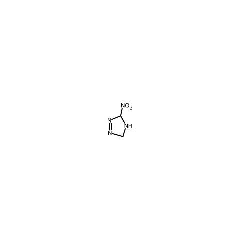 O=[N+]([O-])C1N=NCN1